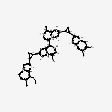 COc1c(C)ccn2cc(C3CC3c3nc4c(-c5cnc(C)c6nc(C7CC7c7cn8cc(F)c(C)cc8n7)nn56)ncc(C)n4n3)nc12